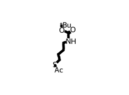 CC(=O)SCCCCNC(=O)OC(C)(C)C